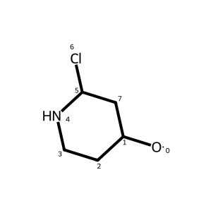 [O]C1CCNC(Cl)C1